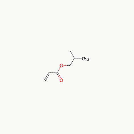 C=CC(=O)OCC(C)C(C)(C)C